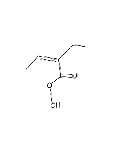 C/C=C(/CC)C(=O)OO